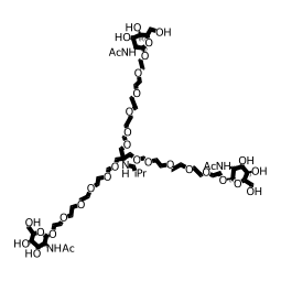 CC(=O)N[C@H]1C(O)[C@@H](O)C(CO)O[C@H]1OCCOCCOCCOCCOCOCC(COCOCCOCCOCCOCCO[C@@H]1OC(CO)[C@H](O)C(O)[C@@H]1NC(C)=O)(COCOCCOCCOCCOCCO[C@@H]1OC(CO)[C@H](O)C(O)[C@@H]1NC(C)=O)NCC(C)C